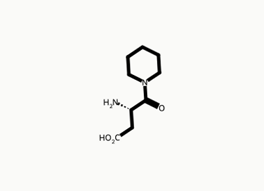 N[C@@H](CC(=O)O)C(=O)N1CCCCC1